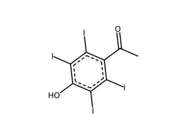 CC(=O)c1c(I)c(I)c(O)c(I)c1I